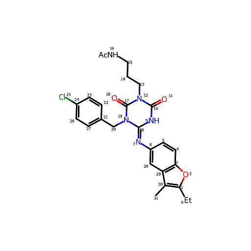 CCc1oc2ccc(/N=c3\[nH]c(=O)n(CCCNC(C)=O)c(=O)n3Cc3ccc(Cl)cc3)cc2c1C